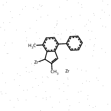 CC1=Cc2c(-c3ccccc3)ccc(C)c2[CH]1[Zr].[Zr]